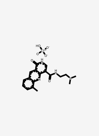 Cc1cccc2cc3c(=O)[nH]cc(C(=O)NCCN(C)C)c3nc12.[O-][Cl+3]([O-])([O-])O